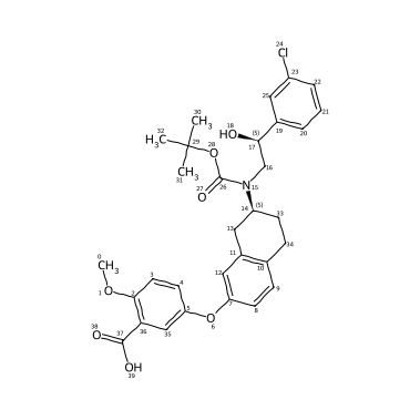 COc1ccc(Oc2ccc3c(c2)C[C@@H](N(C[C@@H](O)c2cccc(Cl)c2)C(=O)OC(C)(C)C)CC3)cc1C(=O)O